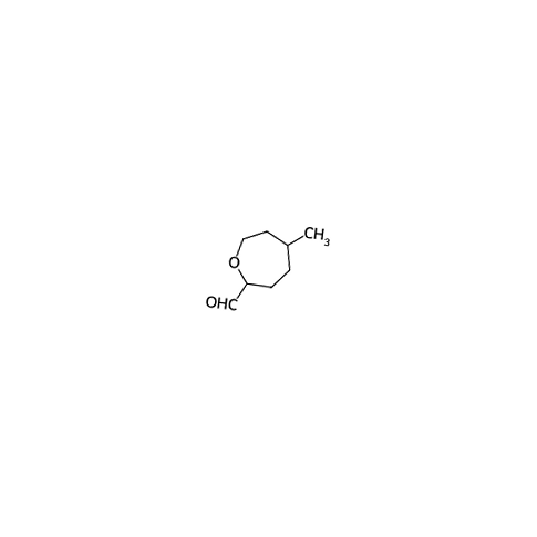 CC1CCOC(C=O)CC1